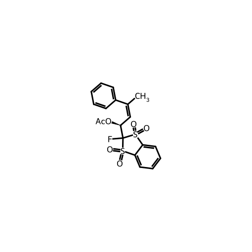 CC(=O)O[C@@H](/C=C(/C)c1ccccc1)C1(F)S(=O)(=O)c2ccccc2S1(=O)=O